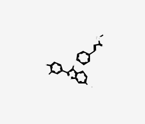 CNC(=O)/C=C/c1ccc(Oc2c(-c3ccc(O)c(F)c3)sc3cc(O)ccc23)cc1